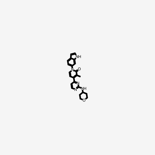 Cc1c(-c2ccnc(NC3CCOCC3)n2)ccn(-c2ccc3cc[nH]c3c2)c1=O